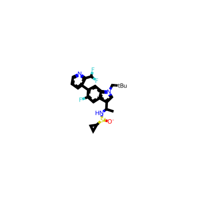 CC(N[S+]([O-])C1CC1)c1cn(CC(C)(C)C)c2cc(-c3cccnc3C(F)F)c(F)cc12